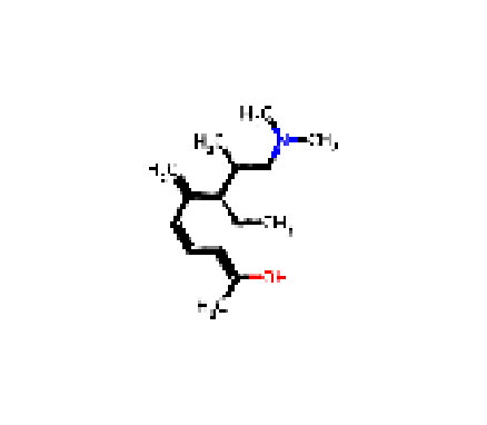 C=C(/C=C\C=C(/C)O)[C@H](CC)[C@@H](C)CN(C)C